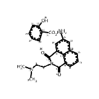 CN(C)CCN1C(=O)c2cccc3cc(N)cc(c23)C1=O.O=C(O)c1ccccc1O